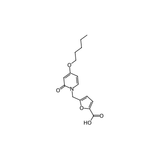 CCCCCOc1ccn(Cc2ccc(C(=O)O)o2)c(=O)c1